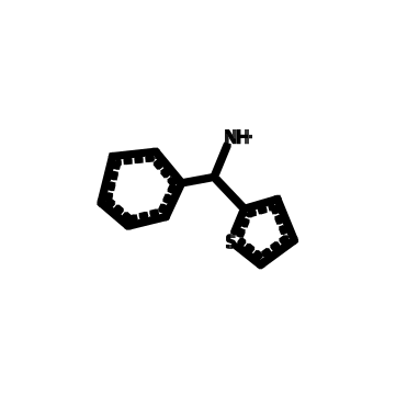 [NH]C(c1ccccc1)c1cccs1